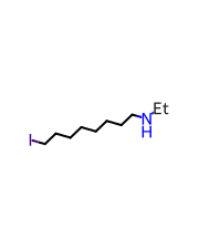 CCNCCCCCCCCI